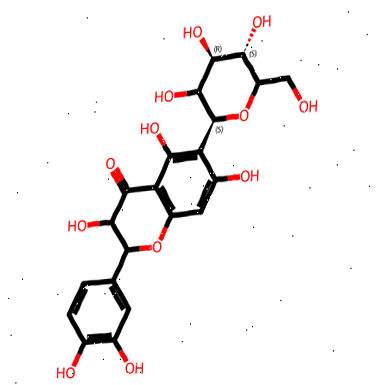 O=C1c2c(cc(O)c([C@@H]3OC(CO)[C@@H](O)[C@H](O)C3O)c2O)OC(c2ccc(O)c(O)c2)C1O